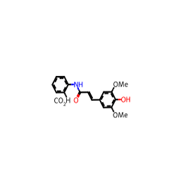 COc1cc(/C=C/C(=O)Nc2ccccc2C(=O)O)cc(OC)c1O